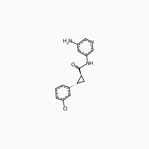 Nc1cncc(NC(=O)[C@H]2C[C@@H]2c2cccc(Cl)c2)c1